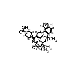 CC(OCC[Si](C)(C)C)c1ccc2[nH]ncc2c1N1CCc2c(nc([S+](C)[O-])nc2N2CCN(C(=O)O)CC2)C1